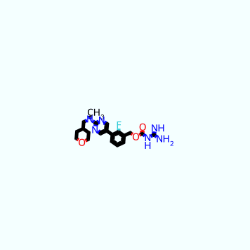 CN(CC1CCOCC1)c1ncc(-c2cccc(COC(=O)NC(=N)N)c2F)cn1